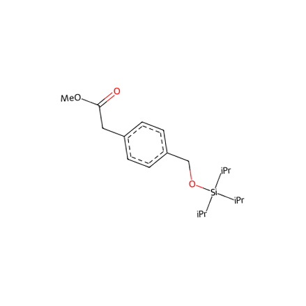 COC(=O)Cc1ccc(CO[Si](C(C)C)(C(C)C)C(C)C)cc1